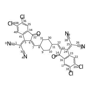 N#CC(C#N)=C1/C(=C/C2CCC(/C=C3\C(=O)c4cc(Cl)c(Cl)cc4C3=C(C#N)C#N)CC2)C(=O)c2cc(Cl)c(Cl)cc21